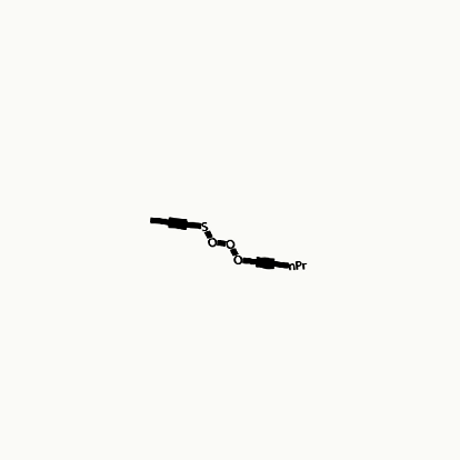 CC#CSOOOC#CCCC